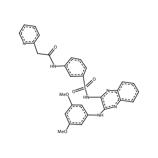 COc1cc(Nc2nc3ccccc3nc2NS(=O)(=O)c2cccc(NC(=O)Cc3ccccn3)c2)cc(OC)c1